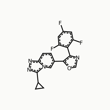 Fc1cc(F)c(-c2ncoc2-c2ccc3nnc(C4CC4)n3c2)c(F)c1